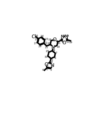 Cc1cnc(C2CCC(N3CC(c4nnc(C)o4)OCC3Cc3ccc(Cl)cc3)CC2)o1